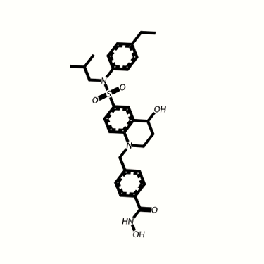 CCc1ccc(N(CC(C)C)S(=O)(=O)c2ccc3c(c2)C(O)CCN3Cc2ccc(C(=O)NO)cc2)cc1